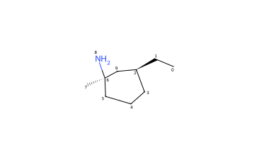 CC[C@H]1CCC[C@@](C)(N)C1